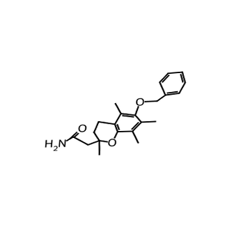 Cc1c(C)c2c(c(C)c1OCc1ccccc1)CCC(C)(CC(N)=O)O2